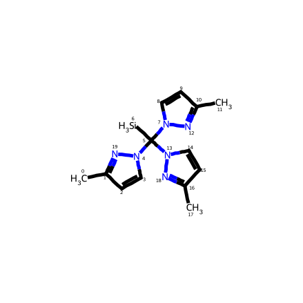 Cc1ccn(C([SiH3])(n2ccc(C)n2)n2ccc(C)n2)n1